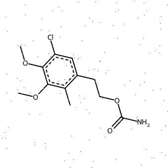 COc1c(Cl)cc(CCOC(N)=O)c(C)c1OC